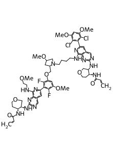 C=CC(=O)N[C@H]1CCOC[C@H]1Nc1ncc2cc(-c3c(F)c(OC)cc(OCC4CC(OC)CN4CCCCNc4nc(-c5c(Cl)c(OC)cc(OC)c5Cl)cc5cnc(N[C@@H]6COCC[C@@H]6NC(=O)C=C)nc45)c3F)nc(NCCOC)c2n1